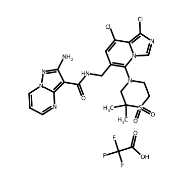 CC1(C)CN(c2c(CNC(=O)c3c(N)nn4cccnc34)cc(Cl)c3c(Cl)ncn23)CCS1(=O)=O.O=C(O)C(F)(F)F